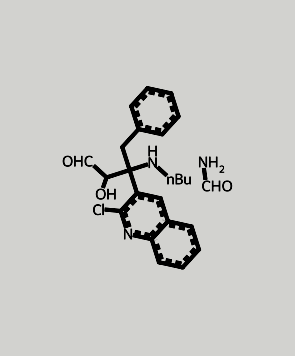 CCCCNC(Cc1ccccc1)(c1cc2ccccc2nc1Cl)C(O)C=O.NC=O